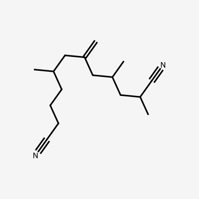 C=C(CC(C)CCCC#N)CC(C)CC(C)C#N